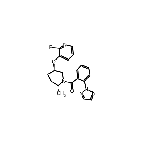 C[C@@H]1CC[C@@H](Oc2cccnc2F)CN1C(=O)c1ccccc1-n1nccn1